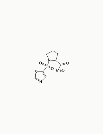 COC(=O)C1CCCN1S(=O)(=O)c1cn[c]s1